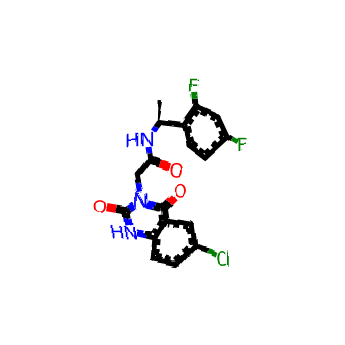 C[C@H](NC(=O)Cn1c(=O)[nH]c2ccc(Cl)cc2c1=O)c1ccc(F)cc1F